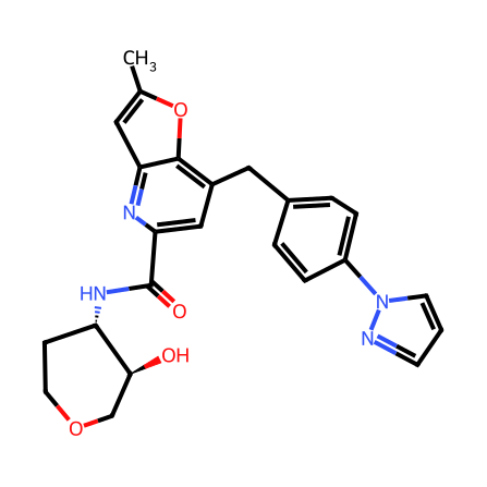 Cc1cc2nc(C(=O)N[C@H]3CCOC[C@@H]3O)cc(Cc3ccc(-n4cccn4)cc3)c2o1